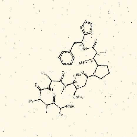 CC[C@H](C)[C@@H]([C@@H](CC(=O)N1CCCC1[C@H](OC)[C@@H](C)C(=O)N[C@@H](Cc1ccccc1)c1nccs1)OC)N(C)C(=O)C(NC(=O)C(C(C)C)N(C)C(=O)C(NC)C(C)C)C(C)C